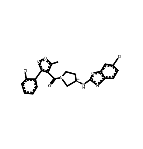 Cc1onc(-c2ccccc2Cl)c1C(=O)N1CC[C@@H](Nc2nc3ccc(Cl)cc3o2)C1